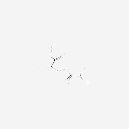 C=C(C)C(=O)OCC(C)C(=O)OC